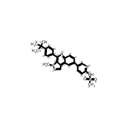 Cn1ncc2c3cc(-c4ccc(NS(C)(=O)=O)nc4)ccc3nc(-c3ccc(C(C)(C)C#N)cc3)c21